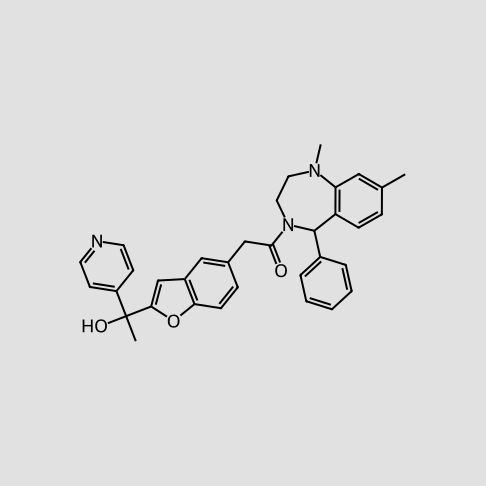 Cc1ccc2c(c1)N(C)CCN(C(=O)Cc1ccc3oc(C(C)(O)c4ccncc4)cc3c1)C2c1ccccc1